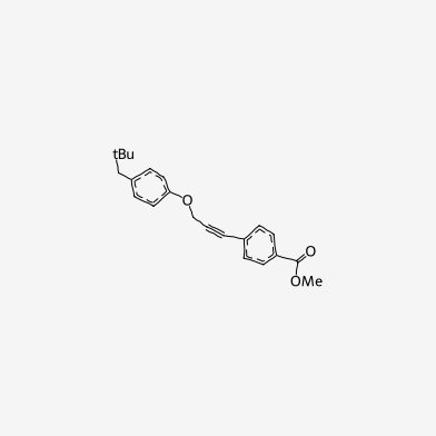 COC(=O)c1ccc(C#CCOc2ccc(CC(C)(C)C)cc2)cc1